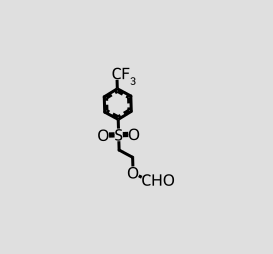 O=COCCS(=O)(=O)c1ccc(C(F)(F)F)cc1